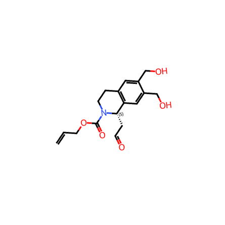 C=CCOC(=O)N1CCc2cc(CO)c(CO)cc2[C@@H]1CC=O